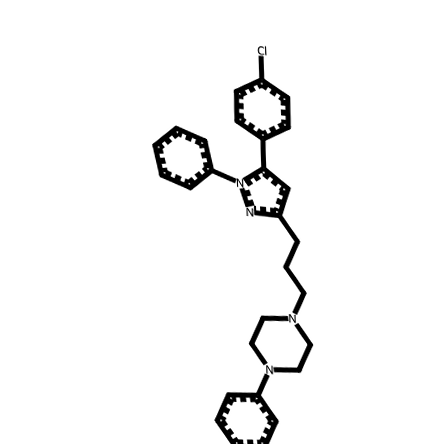 Clc1ccc(-c2cc(CCCN3CCN(c4ccccc4)CC3)nn2-c2ccccc2)cc1